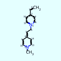 C=Cc1cc[n+](CC=C2C=CN(C)C=C2)cc1